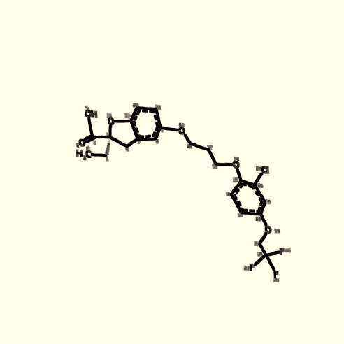 CC[C@@]1(C(=O)O)Cc2cc(OCCCOc3ccc(OCC(F)(F)F)cc3Cl)ccc2O1